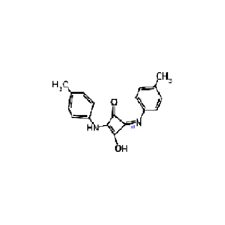 Cc1ccc(/N=c2/c(O)c(Nc3ccc(C)cc3)c2=O)cc1